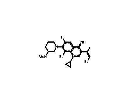 CC/C=C(/C)c1cn(C2CC2)c2c(CC)c(N3CCCC(NC)C3)c(F)cc2c1=N